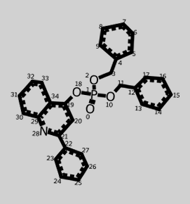 O=P(OCc1ccccc1)(OCc1ccccc1)Oc1cc(-c2ccccc2)nc2ccccc12